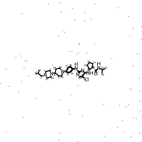 CC(C)CN1CCN(C2CCN(c3ccc(Nc4ncc(Cl)c(N[C@@H]5CCC[C@@H]5C(=O)NC(C)C)n4)cc3)CC2)CC1